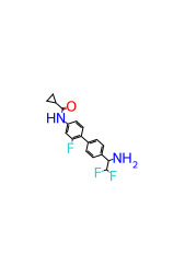 NC(c1ccc(-c2ccc(NC(=O)C3CC3)cc2F)cc1)C(F)F